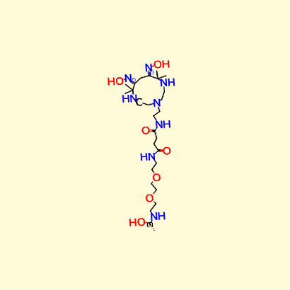 C[C@H](O)NCCOCCOCCNC(=O)CCC(=O)NCCN1CCNC(C)(C)/C(=N\O)C/C(=N/O)C(C)(C)NCC1